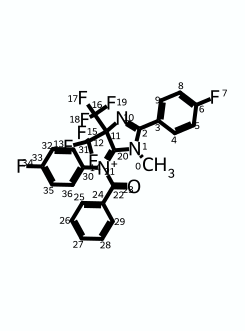 CN1C(c2ccc(F)cc2)=NC(C(F)(F)F)(C(F)(F)F)C1=[N+](C(=O)c1ccccc1)c1ccc(F)cc1